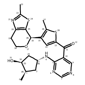 [CH2][C@@H]1C[C@@H](Nc2ncncc2C(=O)c2cc([C@H]3OCCc4nc(C)sc43)c(C)s2)C[C@@H]1O